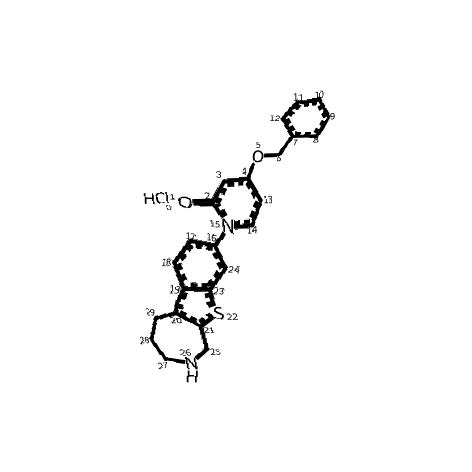 Cl.O=c1cc(OCc2ccccc2)ccn1-c1ccc2c3c(sc2c1)CNCCC3